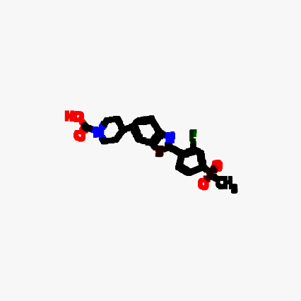 CS(=O)(=O)c1ccc(-c2nc3ccc(C4CCN(C(=O)O)CC4)cc3s2)c(F)c1